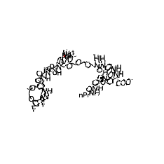 CCCNC(=O)Nc1cccc(S(=O)(=O)Nc2cccc([C@@H](CC(=O)[O-])NC(=O)Nc3ccc(NC(=O)NCCOCCOCCOCCC(=O)N[C@@H](CC(=O)[O-])C(=O)N4CCC[C@H]4C(=O)N[C@H](C(=O)N=[S@](C)(=O)Cc4cc5cc(c4)O[C@H](C)CCOc4cc(F)ccc4-c4nc(ncc4F)N5)C(C)C)cc3)c2)c1.[Na+].[Na+]